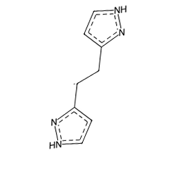 [CH](Cc1cc[nH]n1)c1cc[nH]n1